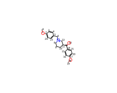 COc1ccc(CN2CCCC(C(=O)c3ccc(OC)cc3)C2)cc1